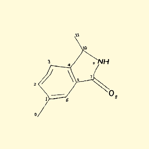 Cc1ccc2c(c1)C(=O)NC2C